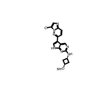 CO[C@H]1C[C@@H](Nc2ncc3c(-c4ccc5ncc(Cl)n5n4)c[nH]c3n2)C1